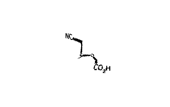 N#CCSOC(=O)O